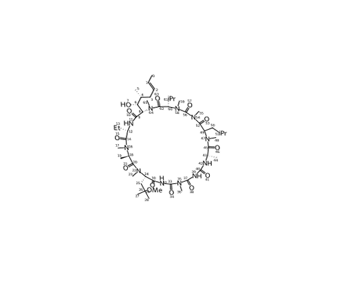 C/C=C/C[C@@H](C)[C@@H](O)[C@H]1C(=O)N[C@@H](CC)C(=O)N(C)[C@H](C)C(=O)N(C)[C@@H](CC(C)(C)OC)C(=O)NC(=O)N(C)C(=O)NC(=O)N[C@@H](C)C(=O)N(C)C(CC(C)C)C(=O)N(C)C(=O)N(C)[C@@H](C(C)C)C(=O)N1C